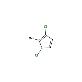 ClC1=[C]([W])C(Cl)C=C1